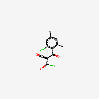 Cc1cc(C)c(C(=O)C(=C=O)C(=O)Cl)c(Cl)c1